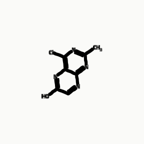 Cc1nc(Cl)c2nc(O)cnc2n1